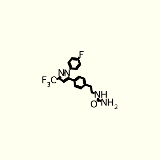 NC(=O)NCCc1ccc(-c2cc(C(F)(F)F)nn2-c2ccc(F)cc2)cc1